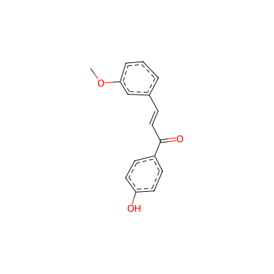 COc1cccc(/C=C/C(=O)c2ccc(O)cc2)c1